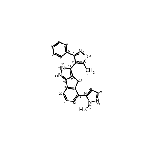 Cc1onc(-c2ccccc2)c1-c1[nH]nc2c1Cc1c-2cccc1-c1ccnn1C